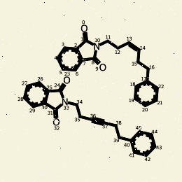 O=C1c2ccccc2C(=O)N1CC/C=C\CCc1ccccc1.O=C1c2ccccc2C(=O)N1CCC#CCCc1ccccc1